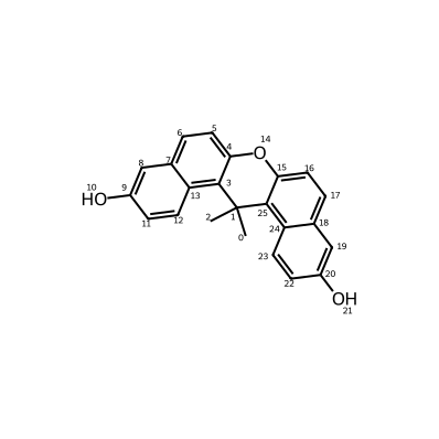 CC1(C)c2c(ccc3cc(O)ccc23)Oc2ccc3cc(O)ccc3c21